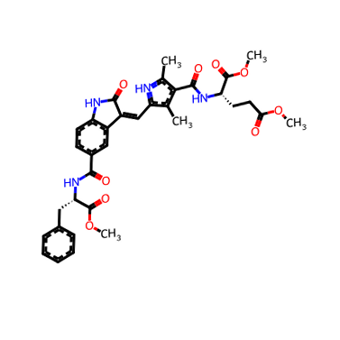 COC(=O)CC[C@H](NC(=O)c1c(C)[nH]c(C=C2C(=O)Nc3ccc(C(=O)N[C@@H](Cc4ccccc4)C(=O)OC)cc32)c1C)C(=O)OC